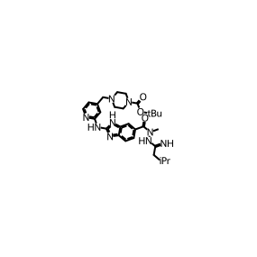 CC(C)CC(=N)NN(C)C(=O)c1ccc2nc(Nc3cc(CN4CCN(C(=O)OC(C)(C)C)CC4)ccn3)[nH]c2c1